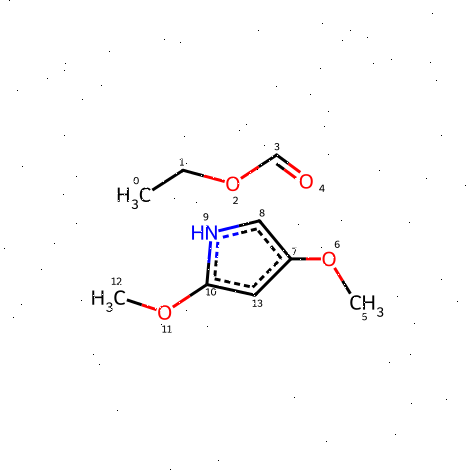 CCOC=O.COc1c[nH]c(OC)c1